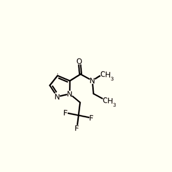 CCN(C)C(=O)c1[c]cnn1CC(F)(F)F